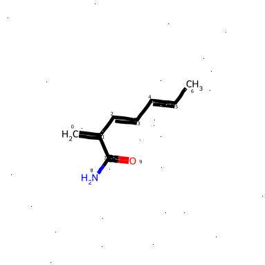 C=C(/C=C/C=C/C)C(N)=O